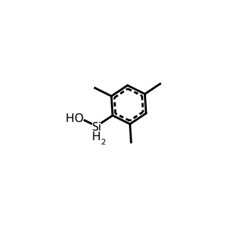 Cc1cc(C)c([SiH2]O)c(C)c1